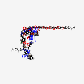 Cc1cc(N(CCCC(O)C[N+](C)(C)C)c2nc(C(=O)O)c(CCCOc3ccc(C#CCN(C)C(=O)OCc4ccc(NC(=O)C(CCCNC(N)=O)NC(=O)C(NC(=O)OC(C)(C)C)C(C)C)cc4CN(C)C(=O)OCc4cn(CCOCCOCCOCCOCCOCCOCCOCCOCCC(=O)O)nn4)cc3F)s2)nnc1Nc1nc2ccccc2s1